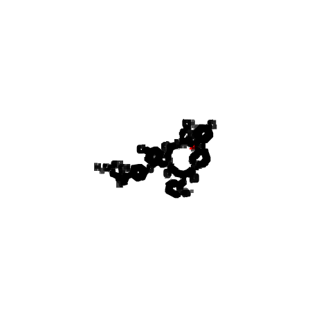 COC[C@@H]1NC(=O)[C@H](C)N(Cc2ccc(Cl)cc2Oc2ccc(-c3cnc(CN(C)C)n3C)cc2)C(=O)C[C@@H](Cc2cccc[n+]2[O-])C(=O)N2CCC[C@@](Cc3ccc(Cl)cc3)(C2)NC1=O